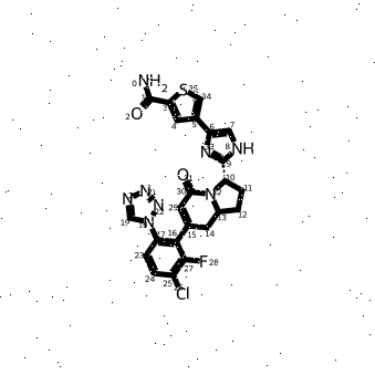 NC(=O)c1cc(-c2c[nH]c([C@@H]3CCC4CC(c5c(-n6cnnn6)ccc(Cl)c5F)=CC(=O)N43)n2)cs1